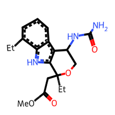 CCc1cccc2c3c([nH]c12)C(CC)(CC(=O)OC)OCC3NC(N)=O